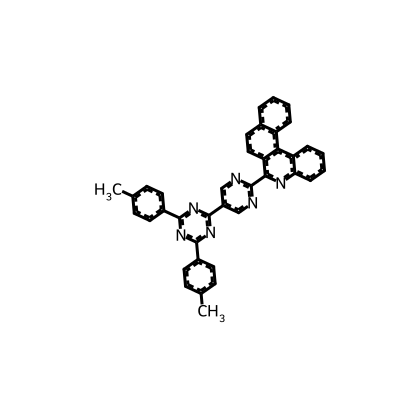 Cc1ccc(-c2nc(-c3ccc(C)cc3)nc(-c3cnc(-c4nc5ccccc5c5c4ccc4ccccc45)nc3)n2)cc1